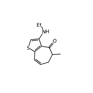 CCNc1csc2c1C(=O)C(C)CC=C2